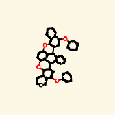 c1ccc(Oc2cc3c(c4ccccc24)Oc2ccc4c5c(c6ccccc6c-3c25)-c2cc(Oc3ccccc3)c3ccccc3c2O4)cc1